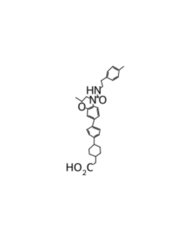 Cc1ccc(CCNC(=O)N2CC(C)Oc3cc(-c4ccc(C5CCC(CC(=O)O)CC5)cc4)ccc32)cc1